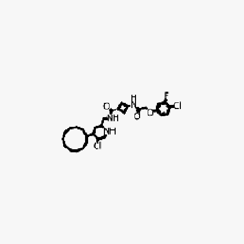 O=C(COc1ccc(Cl)c(F)c1)N[C@H]1C[C@H](C(=O)NCC2CC(C3CCCCCCCCCC3)C(Cl)CN2)C1